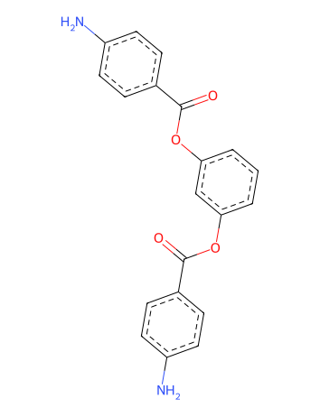 Nc1ccc(C(=O)Oc2cccc(OC(=O)c3ccc(N)cc3)c2)cc1